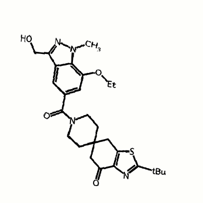 CCOc1cc(C(=O)N2CCC3(CC2)CC(=O)c2nc(C(C)(C)C)sc2C3)cc2c(CO)nn(C)c12